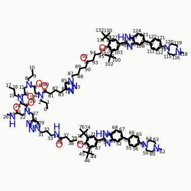 CCCN(CC(=O)N(CCC)CC(=O)N(CCC)CC(=O)N(CC(=O)NC)Cc1cn(CCCNC(=O)CCCOc2c(C(C)(C)C)cc(-c3nc4cc(-c5ccc(N6CCN(C)CC6)cc5)ccc4[nH]3)cc2C(C)(C)C)nn1)C(=O)CCCc1cn(CCCCC(=O)CCCOc2c(C(C)(C)C)cc(-c3nc4cc(-c5ccc(N6CCN(C)CC6)cc5)ccc4[nH]3)cc2C(C)(C)C)nn1